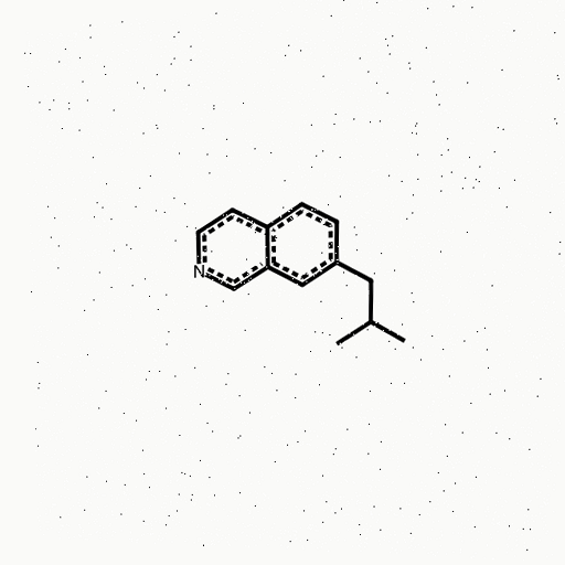 CC(C)Cc1ccc2ccncc2c1